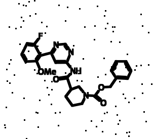 COc1cccc(F)c1-c1cc(NC(=O)C2CCCN(C(=O)OCc3ccccc3)C2)ncn1